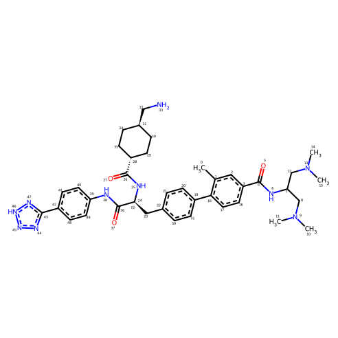 Cc1cc(C(=O)NC(CN(C)C)CN(C)C)ccc1-c1ccc(C[C@H](NC(=O)[C@H]2CC[C@H](CN)CC2)C(=O)Nc2ccc(-c3nn[nH]n3)cc2)cc1